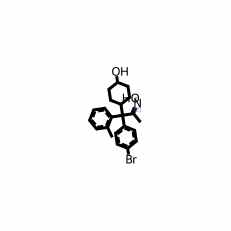 C/C(=N/O)C(c1ccc(Br)cc1)(c1ccccc1C)C1CCC(O)CC1